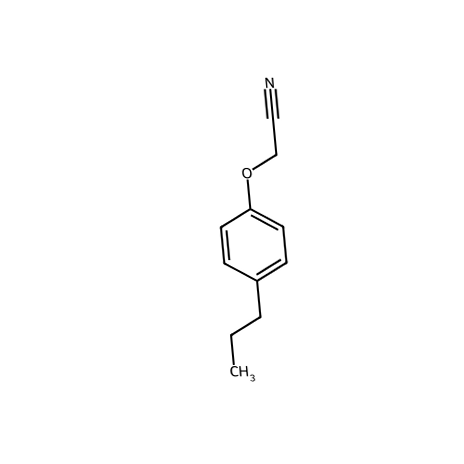 CCCc1ccc(OCC#N)cc1